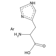 NC(Cc1c[nH]cn1)C(=O)O.[Ar]